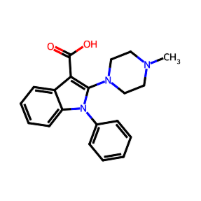 CN1CCN(c2c(C(=O)O)c3ccccc3n2-c2ccccc2)CC1